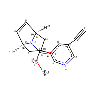 C#Cc1cncc([C@@]2(C#N)C[C@H]3C=C[C@@H](C2)N3C(=O)OC(C)(C)C)c1